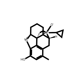 Cc1cc(O)c2c3c1C[C@@H]1[C@@H]4CCC[C@H](O2)[C@]34CC[N+]1([O-])C1CC1